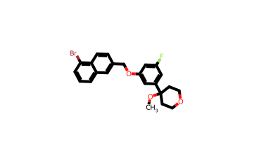 COC1(c2cc(F)cc(OCc3ccc4c(Br)cccc4c3)c2)CCOCC1